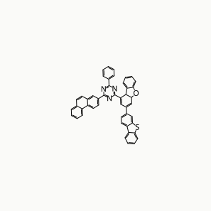 C1=C(c2ccc3c(c2)sc2ccccc23)C=C(c2nc(-c3ccccc3)nc(-c3ccc4c(ccc5ccccc54)c3)n2)C2c3ccccc3OC12